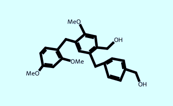 COc1ccc(Cc2cc(Cc3ccc(CO)cc3)c(CO)cc2OC)c(OC)c1